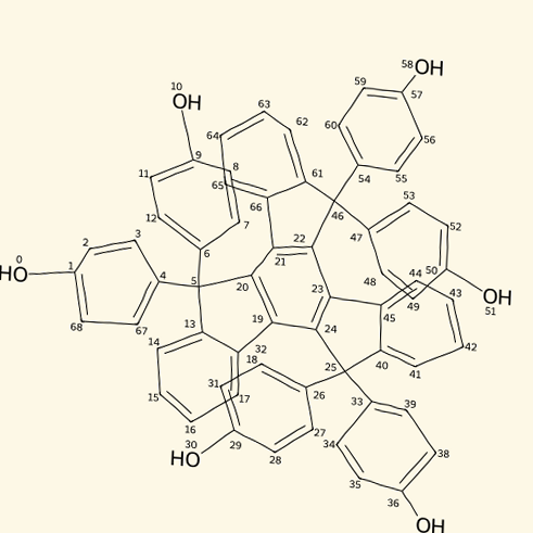 Oc1ccc(C2(c3ccc(O)cc3)c3ccccc3-c3c2c2c(c4c3C(c3ccc(O)cc3)(c3ccc(O)cc3)c3ccccc3-4)C(c3ccc(O)cc3)(c3ccc(O)cc3)c3ccccc3-2)cc1